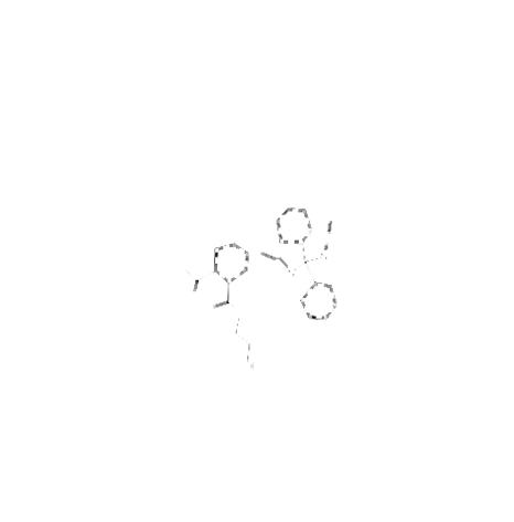 O=C(O)c1ccccc1C(=O)OCCO.O=C=NC(N=C=O)(c1ccccc1)c1ccccc1